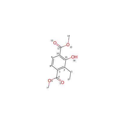 CCc1c(C(=O)OC)ccc(C(=O)OC)c1O